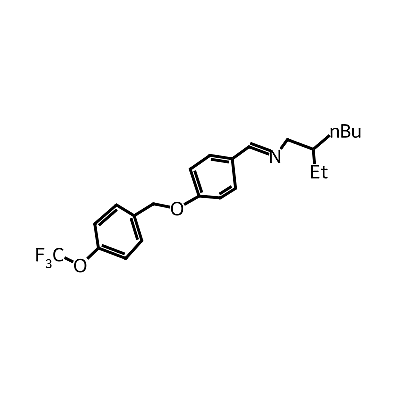 CCCCC(CC)CN=Cc1ccc(OCc2ccc(OC(F)(F)F)cc2)cc1